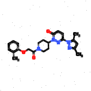 Cc1cc(C)n(-c2ccc(=O)n(C3CCN(C(=O)COc4ccccc4C)CC3)n2)n1